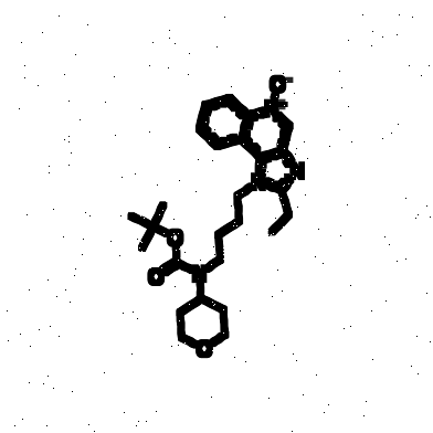 CCc1nc2c[n+]([O-])c3ccccc3c2n1CCCCN(C(=O)OC(C)(C)C)C1CCOCC1